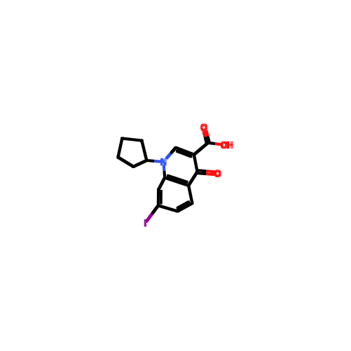 O=C(O)c1cn(C2CCCC2)c2cc(I)ccc2c1=O